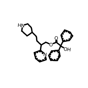 O=C(OCC(CCC1CCNCC1)c1ccccn1)C(O)(c1ccccc1)c1ccccc1